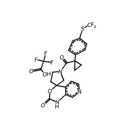 O=C(O)C(F)(F)F.O=C1Nc2cnccc2C2(CCN(C(=O)C3(c4ccc(SC(F)(F)F)cc4)CC3)C2)O1